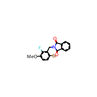 COc1ccc(Br)c(CN2C(=O)c3ccccc3C2=O)c1F